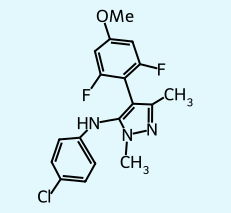 COc1cc(F)c(-c2c(C)nn(C)c2Nc2ccc(Cl)cc2)c(F)c1